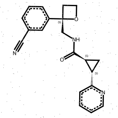 N#Cc1cccc([C@]2(CNC(=O)[C@H]3C[C@@H]3c3ccccn3)CCO2)c1